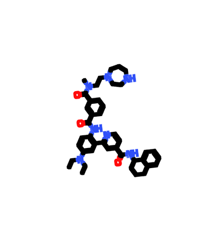 CCN(CC)c1ccc(NC(=O)c2cccc(C(=O)N(C)CCN3CCCNCC3)c2)c(-c2cc(C(=O)NC3CCCc4ccccc43)ccn2)c1